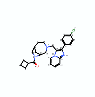 O=C(C1CCC1)N1CC2CCN(Cc3c(-c4ccc(Cl)cc4)nc4ccccn34)CC1C2